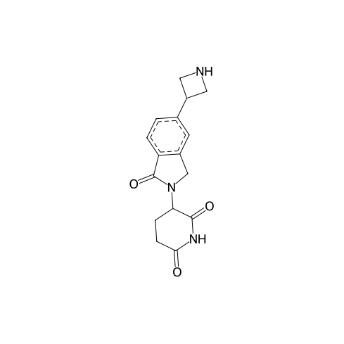 O=C1CCC(N2Cc3cc(C4CNC4)ccc3C2=O)C(=O)N1